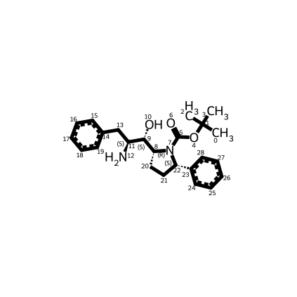 CC(C)(C)OC(=O)N1[C@@H]([C@@H](O)[C@@H](N)Cc2ccccc2)CC[C@H]1c1ccccc1